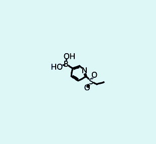 CCS(=O)(=O)c1ccc(B(O)O)cn1